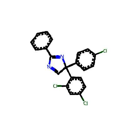 Clc1ccc(C2(c3ccc(Cl)cc3Cl)C=NC(c3ccccc3)=N2)cc1